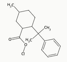 CC1CCC(C(C)(C)c2ccccc2)C(C(=O)OCl)C1